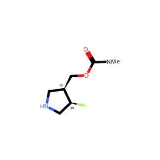 CNC(=O)OC[C@@H]1CNC[C@@H]1F